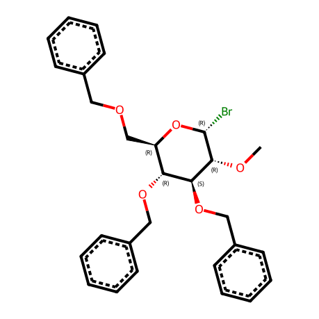 CO[C@@H]1[C@@H](OCc2ccccc2)[C@H](OCc2ccccc2)[C@@H](COCc2ccccc2)O[C@@H]1Br